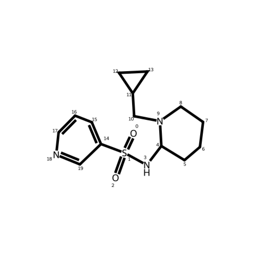 O=S(=O)(NC1CCCCN1CC1CC1)c1cccnc1